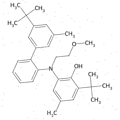 COCCN(c1ccccc1-c1cc(C)cc(C(C)(C)C)c1)c1cc(C)cc(C(C)(C)C)c1O